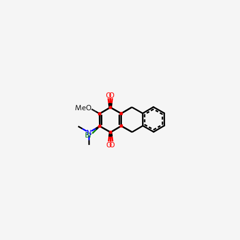 COC1=C(Br)C(=O)C2=C(C1=O)C1C3=C(C(=O)C(N(C)C)=CC3=O)C2c2ccccc21